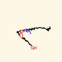 C=C(COCCCCCCO)COCNCCCCCCCCCCCCCCC